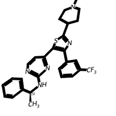 CCOC(=O)N1CCC(c2nc(-c3cccc(C(F)(F)F)c3)c(-c3ccnc(N[C@@H](C)c4ccccc4)n3)s2)CC1